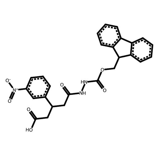 O=C(O)CC(CC(=O)NNC(=O)OCC1c2ccccc2-c2ccccc21)c1cccc([N+](=O)[O-])c1